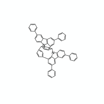 c1ccc(-c2ccc3c(c2)c2cc(-c4ccccc4)cc4c5ccc(cc5)c5ccc(c6c7cc(-c8ccccc8)cc8c9cc(-c%10ccccc%10)ccc9n(c87)c56)n3c42)cc1